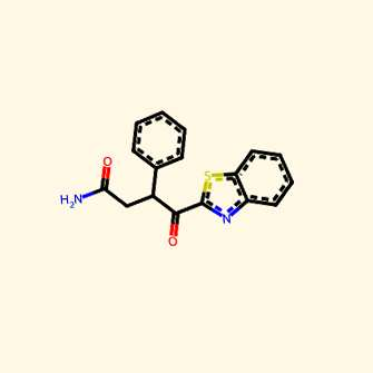 NC(=O)CC(C(=O)c1nc2ccccc2s1)c1ccccc1